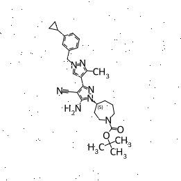 Cc1nn(Cc2cccc(C3CC3)c2)cc1-c1nn([C@H]2CCCN(C(=O)OC(C)(C)C)CC2)c(N)c1C#N